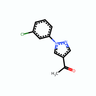 CC(=O)c1cnn(-c2cccc(Cl)c2)c1